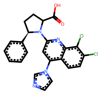 O=C(O)C1CC[C@H](c2ccccc2)N1c1cc(-n2ccnc2)c2ccc(Cl)c(Cl)c2n1